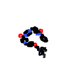 CN(C)CCCOc1ccc(CN2CCC(C(=O)N3CCN(Cc4ccc(C(=O)NCC5CCCCC5)cc4)CC3)CC2)cc1